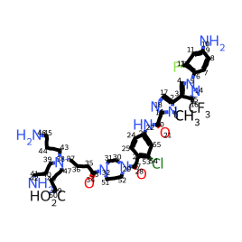 Cn1c(-c2cn(-c3ccc(N)cc3F)nc2C(F)(F)F)cnc1C(=O)Nc1ccc(C(=O)N2CCN(C(=O)CCC[N+](CCCN)(CCCN)CCCC(=O)O)CC2)c(Cl)c1